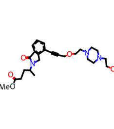 COC(=O)CCC(C)N1Cc2c(C#CCOCCN3CCN(CCO)CC3)cccc2C1=O